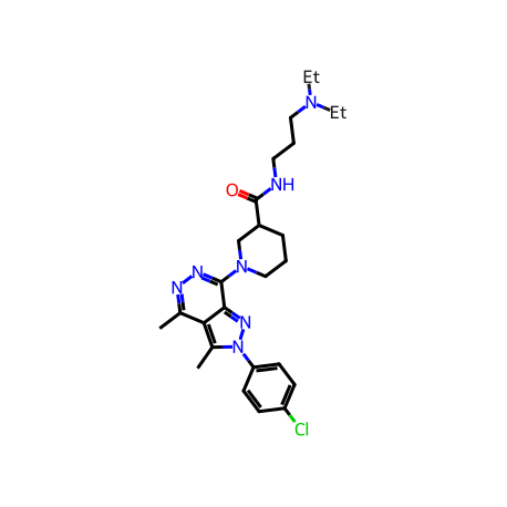 CCN(CC)CCCNC(=O)C1CCCN(c2nnc(C)c3c(C)n(-c4ccc(Cl)cc4)nc23)C1